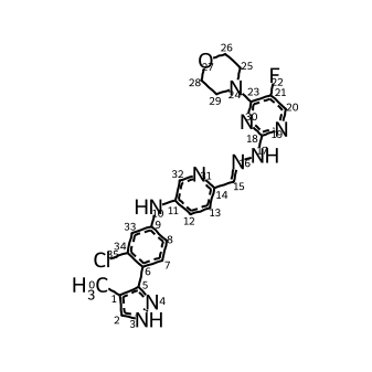 Cc1c[nH]nc1-c1ccc(Nc2ccc(/C=N/Nc3ncc(F)c(N4CCOCC4)n3)nc2)cc1Cl